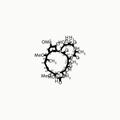 COc1cc2cc(c1Cl)N1CC(O)C(C)(O)C(=O)NC(C)C(=O)O[C@@H](CC1=O)[C@]1(C)O[C@H]1[C@H](C)[C@@H]1C[C@@](O)(NC(=O)O1)[C@H](OC)/C=C/C=C(\C)C2OC